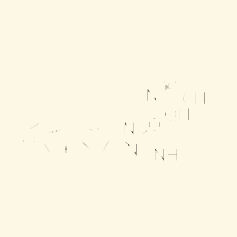 CC(O)C(=O)N1CC[C@@H](CN2C(=O)C3(CNC3)N=C2c2ccc(-c3ccc4occc4c3)cc2)C1